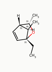 CC[C@]12C=C[C@H]([C@H](C)O1)[C@H]2C